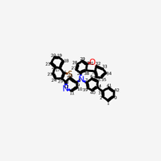 c1ccc(-c2ccc(N(c3ccnc4c3sc3c5ccccc5ccc43)c3cccc4oc5ccccc5c34)cc2)cc1